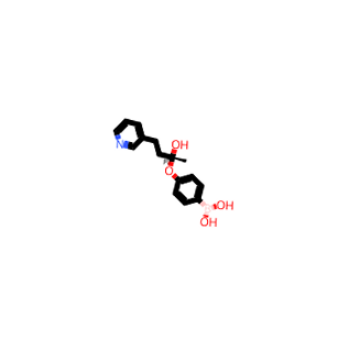 C[C@](O)(CCc1cccnc1)Oc1ccc(B(O)O)cc1